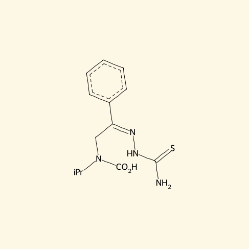 CC(C)N(CC(=NNC(N)=S)c1ccccc1)C(=O)O